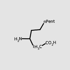 CC(=O)O.CCCCCCCC(N)I